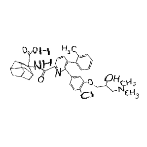 Cc1ccccc1-c1ccc(C(=O)NC2(C(=O)O)C3CC4CC(C3)CC2C4)nc1-c1ccc(Cl)c(OCC(O)CN(C)C)c1